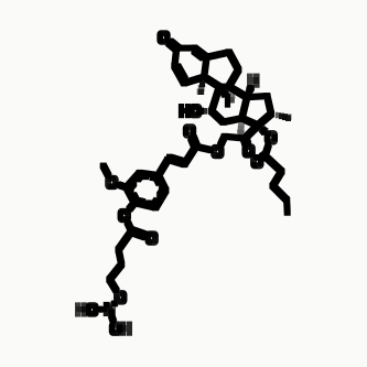 CCCCC(=O)O[C@]1(C(=O)COC(=O)/C=C/c2ccc(OC(=O)CCCON(O)O)c(OC)c2)[C@@H](C)C[C@H]2C3CCC4=CC(=O)C=C[C@]4(C)[C@@]3(F)[C@@H](O)C[C@@]21C